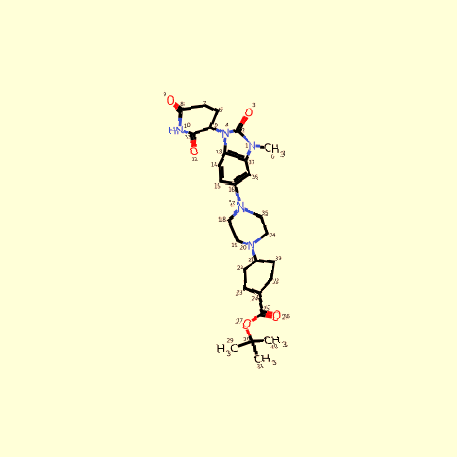 Cn1c(=O)n(C2CCC(=O)NC2=O)c2ccc(N3CCN(C4CCC(C(=O)OC(C)(C)C)CC4)CC3)cc21